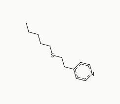 CCCCCSCCc1ccncc1